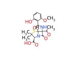 COc1cccc(O)c1C(=O)NC1(C(C)=O)C(=O)N2[C@@H](C(=O)O)C(C)(C)S[C@@H]21